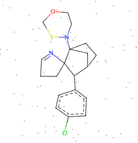 Clc1ccc(C2C3CCC(N4CCOCS4)(C3)C23CCC=N3)cc1